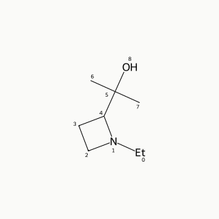 CCN1CCC1C(C)(C)O